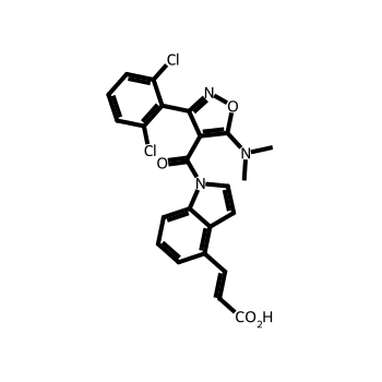 CN(C)c1onc(-c2c(Cl)cccc2Cl)c1C(=O)n1ccc2c(/C=C/C(=O)O)cccc21